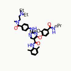 CCCNC(=O)c1ccc(Oc2nc(Nc3ccc(C(=O)N(C)CCN(CC)CC)cc3)ncc2C(=O)Nc2c(C)cccc2C)c(OC)c1